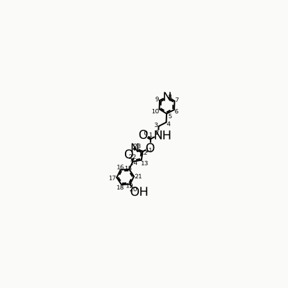 O=C(NCCc1ccncc1)Oc1cc(-c2cccc(O)c2)on1